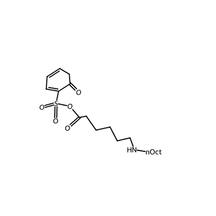 CCCCCCCCNCCCCCC(=O)OS(=O)(=O)C1=CC=CCC1=O